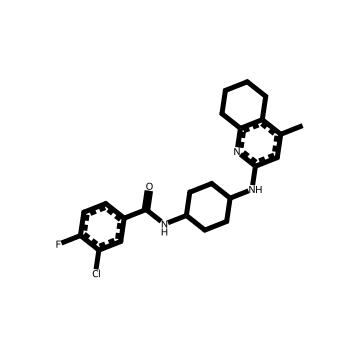 Cc1cc(NC2CCC(NC(=O)c3ccc(F)c(Cl)c3)CC2)nc2c1CCCC2